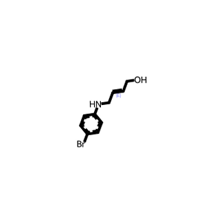 OC/C=C/CNc1ccc(Br)cc1